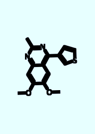 COc1cc2nc(C)nc(-c3ccsc3)c2cc1OC